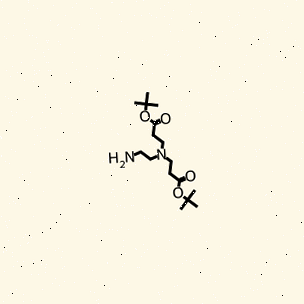 CC(C)(C)OC(=O)CCN(CCN)CCC(=O)OC(C)(C)C